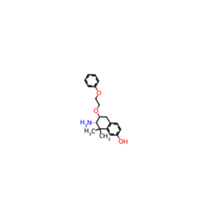 CC1(C)c2cc(O)ccc2C[C@H](OCCOc2ccccc2)[C@H]1N